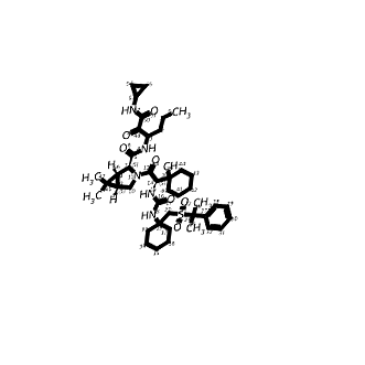 CCCC(NC(=O)[C@@H]1[C@@H]2[C@H](CN1C(=O)[C@@H](NC(=O)NC1(CS(=O)(=O)C(C)(C)c3ccccc3)CCCCC1)C1(C)CCCCC1)C2(C)C)C(=O)C(=O)NC1CC1